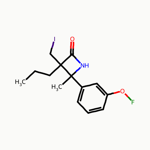 CCCC1(CI)C(=O)NC1(C)c1cccc(OF)c1